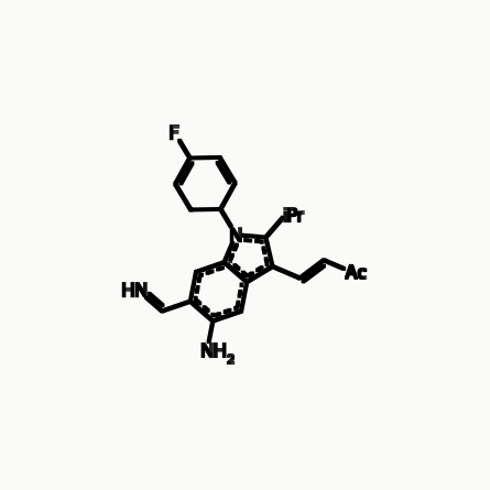 CC(=O)/C=C/c1c(C(C)C)n(C2C=CC(F)=CC2)c2cc(C=N)c(N)cc12